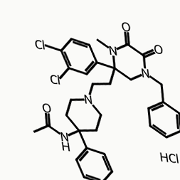 CC(=O)NC1(c2ccccc2)CCN(CCC2(c3ccc(Cl)c(Cl)c3)CN(Cc3ccccc3)C(=O)C(=O)N2C)CC1.Cl